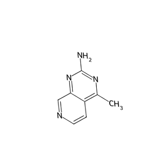 Cc1nc(N)nc2cnccc12